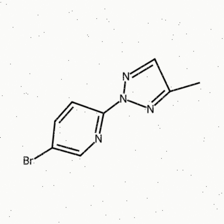 Cc1cnn(-c2ccc(Br)cn2)n1